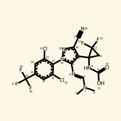 CN(C)C=Nc1c(C2(NC(=O)O)CC2(F)F)c(C#N)nn1-c1c(Cl)cc(C(F)(F)F)cc1Cl